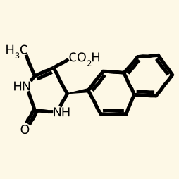 CC1=C(C(=O)O)[C@@H](c2ccc3ccccc3c2)NC(=O)N1